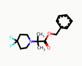 CC(C)(C(=O)OCc1ccccc1)N1CCC(F)(F)CC1